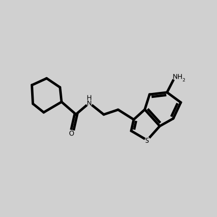 Nc1ccc2scc(CCNC(=O)C3CCCCC3)c2c1